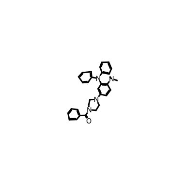 CN(C)c1ccc(N2CCN(C(=O)c3ccccc3)CC2)cc1N(c1ccccc1)c1ccccc1